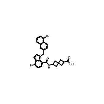 O=C(NC1CC2(C1)CC(C(=O)O)C2)c1ccc(F)c2ccn(Cc3ccc4c(Br)cccc4c3)c12